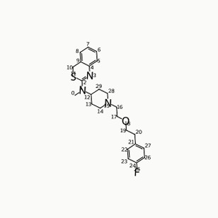 CN(C1=Nc2ccccc2CS1)C1CCN(CCOCCc2ccc(F)cc2)CC1